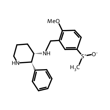 COc1ccc([S+](C)[O-])cc1CN[C@H]1CCCN[C@H]1c1ccccc1